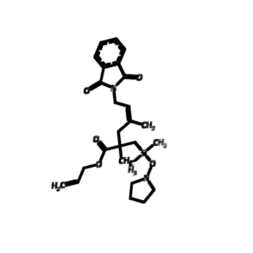 C=CCOC(=O)C(C)(C/C(C)=C\CN1C(=O)c2ccccc2C1=O)C[Si](C)(C)ON1CCCC1